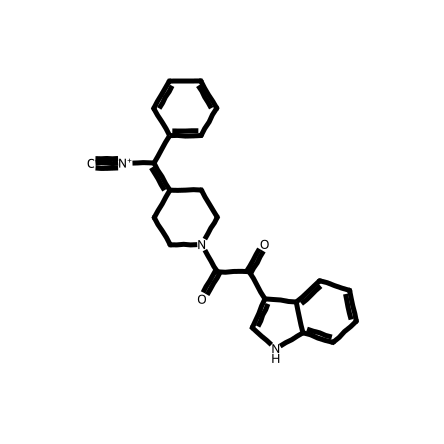 [C-]#[N+]C(=C1CCN(C(=O)C(=O)c2c[nH]c3ccccc23)CC1)c1ccccc1